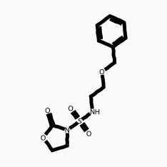 O=C1OCCN1S(=O)(=O)NCCOCc1ccccc1